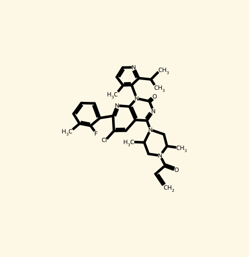 C=CC(=O)N1CC(C)N(c2nc(=O)n(-c3c(C)ccnc3C(C)C)c3nc(-c4cccc(C)c4F)c(Cl)cc23)CC1C